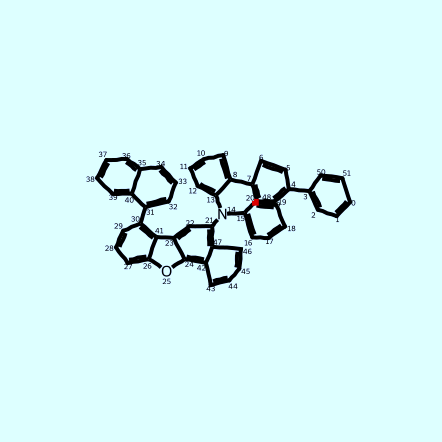 c1ccc(-c2ccc(-c3ccccc3N(c3ccccc3)c3cc4c(oc5cccc(-c6cccc7ccccc67)c54)c4ccccc34)cc2)cc1